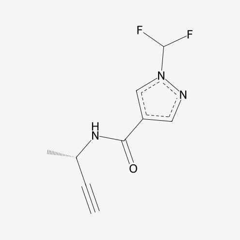 C#C[C@H](C)NC(=O)c1cnn(C(F)F)c1